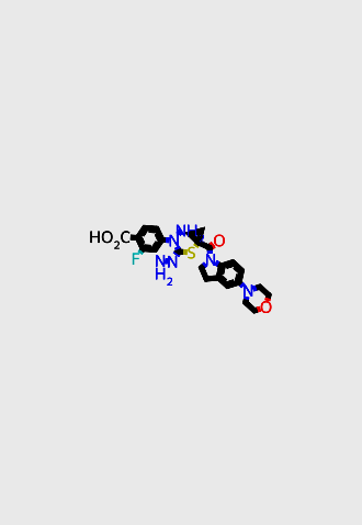 N/N=C(/SC1(C(=O)N2CCc3cc(N4CCOCC4)ccc32)CC1)N(N)c1ccc(C(=O)O)c(F)c1